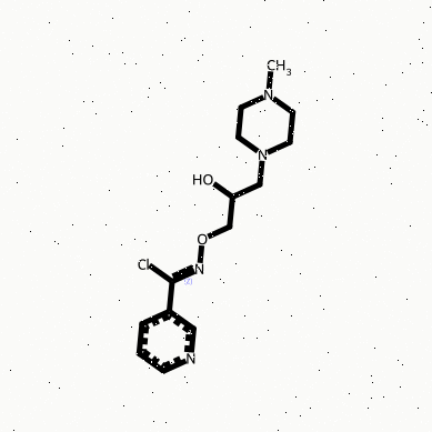 CN1CCN(CC(O)CO/N=C(\Cl)c2cccnc2)CC1